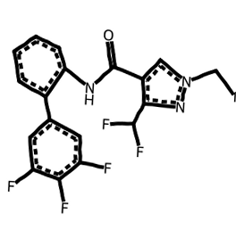 O=C(Nc1ccccc1-c1cc(F)c(F)c(F)c1)c1cn(CI)nc1C(F)F